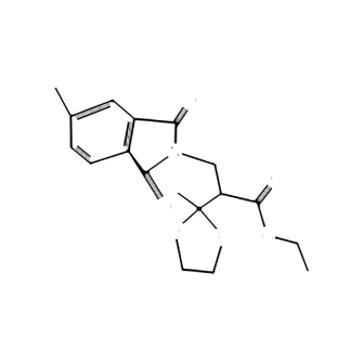 CCOC(=O)C(CN1C(=O)c2ccc(C)cc2C1=O)C1(C)OCCO1